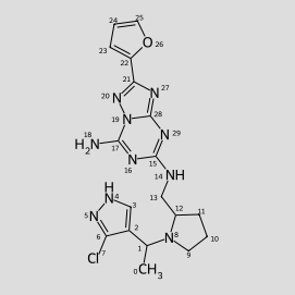 CC(c1c[nH]nc1Cl)N1CCCC1CNc1nc(N)n2nc(-c3ccco3)nc2n1